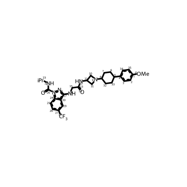 COc1ccc(C2CCC(N3CC(NC(=O)CNc4nn(C(=O)NC(C)C)c5ccc(C(F)(F)F)cc45)C3)CC2)cc1